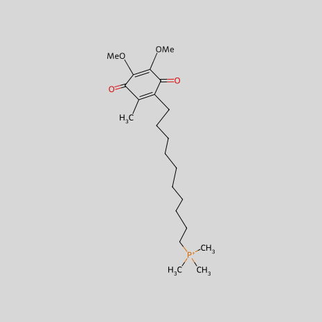 COC1=C(OC)C(=O)C(CCCCCCCCCC[P+](C)(C)C)=C(C)C1=O